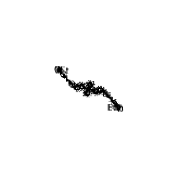 CCC1(COCCCCCOCc2ccc3cc(-c4c5ccccc5c(-c5ccc6cc(COCCCCCOCC7(CC)COC7)ccc6c5)c5ccccc45)ccc3c2)COC1